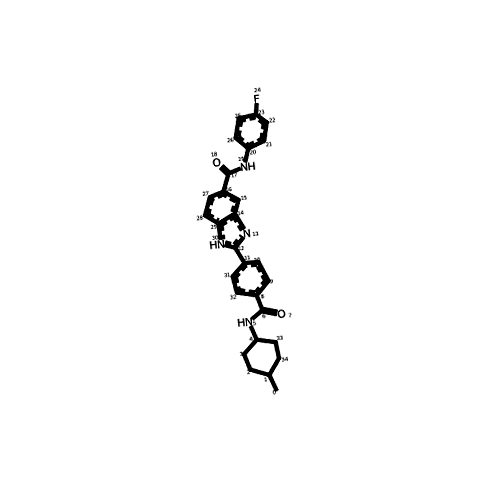 CC1CCC(NC(=O)c2ccc(-c3nc4cc(C(=O)Nc5ccc(F)cc5)ccc4[nH]3)cc2)CC1